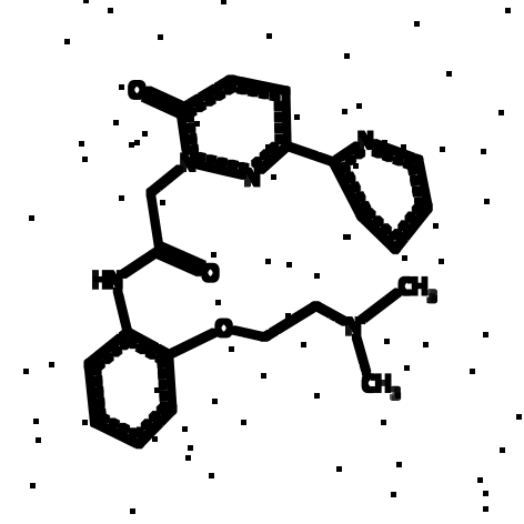 CN(C)CCOc1ccccc1NC(=O)Cn1nc(-c2ccccn2)ccc1=O